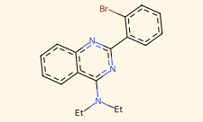 CCN(CC)c1nc(-c2ccccc2Br)nc2ccccc12